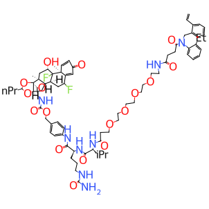 C=Cc1ccccc1CN(C(=O)CCC(=O)NCCOCCOCCOCCOCCC(=O)N[C@H](C(=O)N[C@@H](CCCNC(N)=O)C(=O)Nc1ccc(COC(=O)NCC(=O)[C@@]23OC(CCC)O[C@@H]2C[C@H]2[C@@H]4C[C@H](F)C5=CC(=O)C=C[C@]5(C)[C@@]4(F)[C@@H](O)C[C@@]23C)cc1)C(C)C)c1ccccc1CC